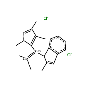 CC1=CC(C)[C]([Zr+2]([CH]2C(C)=Cc3ccccc32)=[Ge]([CH3])[CH3])=C1C.[Cl-].[Cl-]